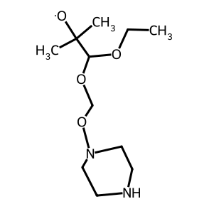 CCOC(OCON1CCNCC1)C(C)(C)[O]